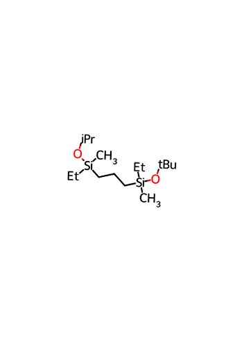 CC[Si](C)(CCC[Si](C)(CC)OC(C)(C)C)OC(C)C